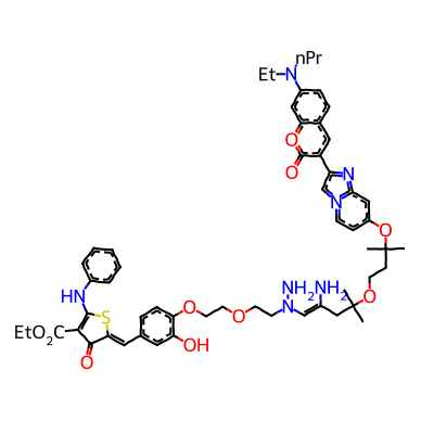 CCCN(CC)c1ccc2cc(-c3cn4ccc(OC(C)(C)CCOC(C)(C)C/C(N)=C/N(N)CCOCCOc5ccc(/C=C6\SC(Nc7ccccc7)=C(C(=O)OCC)C6=O)cc5O)cc4n3)c(=O)oc2c1